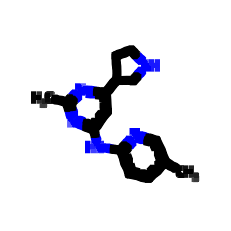 Cc1ccc(Nc2cc(C3CCNC3)nc(C)n2)nc1